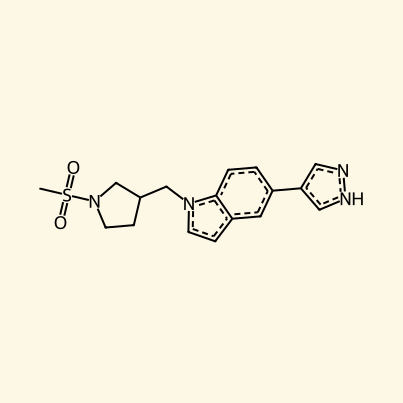 CS(=O)(=O)N1CCC(Cn2ccc3cc(-c4cn[nH]c4)ccc32)C1